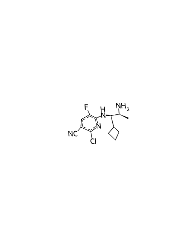 C[C@H](N)[C@H](Nc1nc(Cl)c(C#N)cc1F)C1CCC1